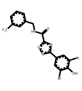 O=C(NCc1cccc(C(F)(F)F)c1)c1nc(-c2cc(Br)c(O)c(Br)c2)no1